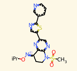 CC(C)O/N=C1\CCN(S(C)(=O)=O)c2ncc(-c3cnc(-c4cccnc4)s3)nc21